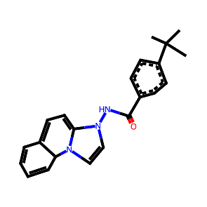 CC(C)(C)c1ccc(C(=O)NN2C=CN3C2=CC=C2C=CC=CC23)cc1